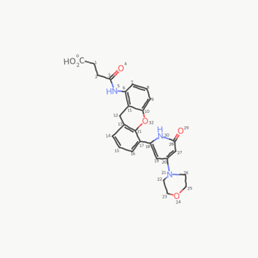 O=C(O)CCC(=O)Nc1cccc2c1Cc1cccc(-c3cc(N4CCOCC4)cc(=O)[nH]3)c1O2